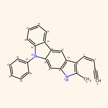 C#C/C=C\c1c(C)[nH]c2cc3c(cc12)c1ccccc1n3-c1ccccc1